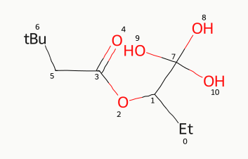 CCC(OC(=O)CC(C)(C)C)C(O)(O)O